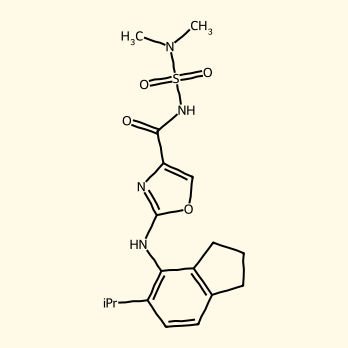 CC(C)c1ccc2c(c1Nc1nc(C(=O)NS(=O)(=O)N(C)C)co1)CCC2